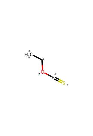 CCOB=S